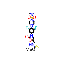 COC(=S)NCC1CN(c2cc(F)c(N3CCN(S(=O)(=O)N(C)C)CC3)c(F)c2)C(=O)O1